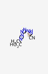 CC(CC(=O)O)N1CCN(c2cc(Nc3ncc(C#N)s3)ncn2)CC1